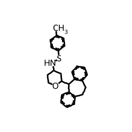 Cc1ccc(SNC2CCOC(C3c4ccccc4CCc4ccccc43)C2)cc1